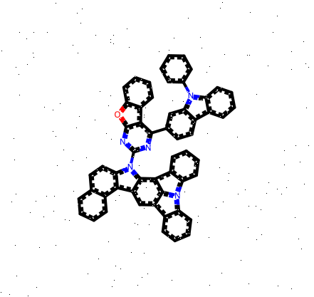 c1ccc(-n2c3ccccc3c3ccc(-c4nc(-n5c6ccc7ccccc7c6c6cc7c8ccccc8n8c9ccccc9c(c65)c78)nc5oc6ccccc6c45)cc32)cc1